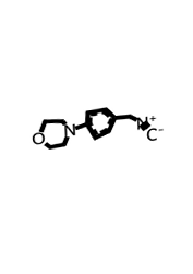 [C-]#[N+]Cc1ccc(N2CCOCC2)cc1